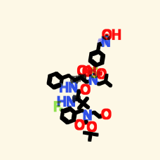 CC(C)CN(C[C@@H](O)[C@H](Cc1ccccc1)NC(=O)[C@H](Nc1c(F)cccc1CN(CC=O)C(=O)OC(C)(C)C)C(C)(C)C)S(=O)(=O)c1ccc(/C=N/O)cc1